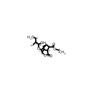 CCOC(=O)C1C2CC3C(OC(=O)C31)C2OC(O)C(I)CC